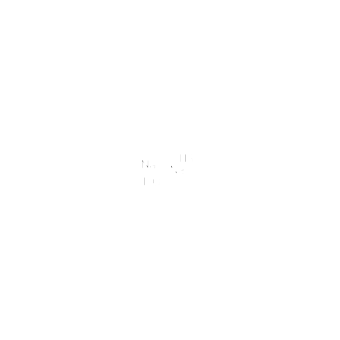 [Na+].[Na+].[OH-].[SH-]